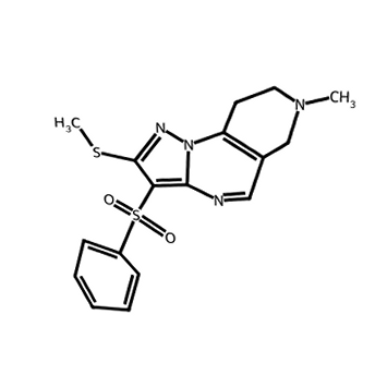 CSc1nn2c3c(cnc2c1S(=O)(=O)c1ccccc1)CN(C)CC3